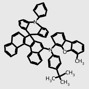 Cc1cccc2c1oc1c(N(c3ccc(C(C)(C)C)cc3)c3cc4c(c5ccccc35)-c3c(ccc5ccccc35)C43c4ccccc4N(c4ccccc4)c4ccccc43)cccc12